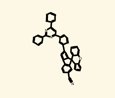 N#Cc1ccc2c(c1)C1(c3ccccc3Oc3ccccc31)c1cc(-c3cccc(-c4cc(-c5ccccc5)nc(-c5ccccc5)n4)c3)ccc1-2